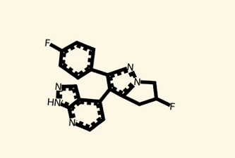 Fc1ccc(-c2nn3c(c2-c2ccnc4[nH]ncc24)CC(F)C3)cc1